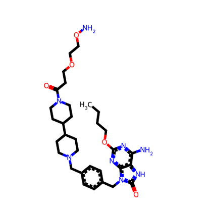 CCCCOc1nc(N)c2[nH]c(=O)n(Cc3ccc(CN4CCC(C5CCN(C(=O)CCOCCON)CC5)CC4)cc3)c2n1